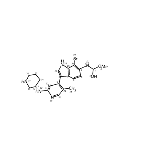 COC(O)Nc1ccc2c(-c3nc(N[C@H]4CCCNC4)ncc3C)c[nH]c2c1Br